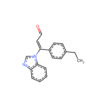 CCc1ccc(C(=CC=O)n2cnc3ccccc32)cc1